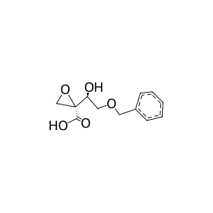 O=C(O)[C@]1([C@@H](O)COCc2ccccc2)CO1